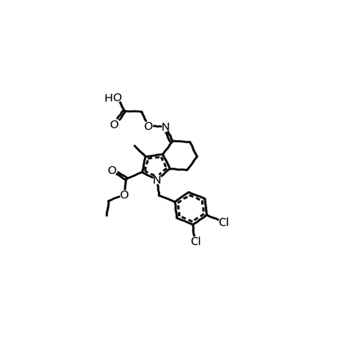 CCOC(=O)c1c(C)c2c(n1Cc1ccc(Cl)c(Cl)c1)CCC/C2=N/OCC(=O)O